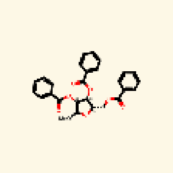 COC1O[C@@H](COC(=O)c2ccccc2)[C@H](OC(=O)c2ccccc2)[C@@H]1OC(=O)c1ccccc1